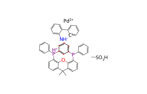 CC1(C)c2cccc(P(c3ccccc3)c3ccccc3)c2Oc2c([PH+](c3ccccc3)c3ccccc3)cccc21.CS(=O)(=O)O.[NH-]c1ccccc1-c1[c-]cccc1.[Pd+2]